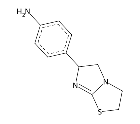 Nc1ccc(C2CN3CCSC3=N2)cc1